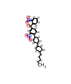 CCCCCC1CCC(C2CCC(c3ccc(C(=O)c4ccccc4[N+](=O)[O-])cc3[N+](=O)[O-])CC2)CC1